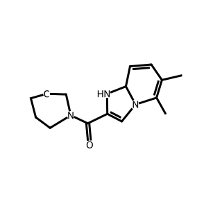 CC1=C(C)N2C=C(C(=O)N3CCCCC3)NC2C=C1